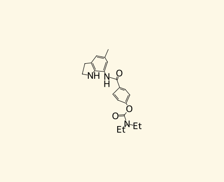 CCN(CC)C(=O)Oc1ccc(C(=O)Nc2cc(C)cc3c2NCC3)cc1